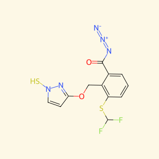 [N-]=[N+]=NC(=O)c1cccc(SC(F)F)c1COc1ccn(S)n1